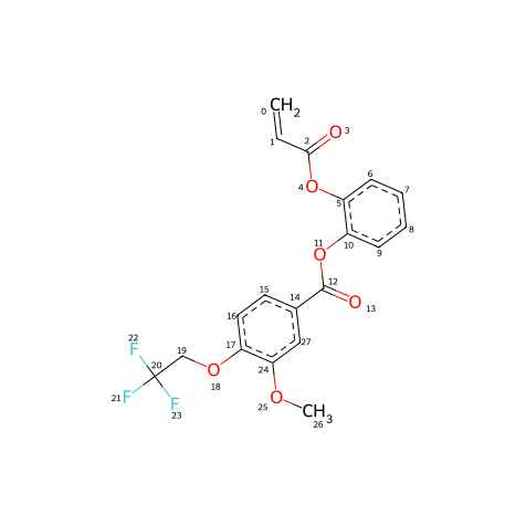 C=CC(=O)Oc1ccccc1OC(=O)c1ccc(OCC(F)(F)F)c(OC)c1